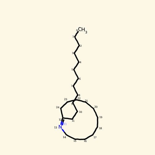 CCCCCCCCCCCC/C1=N\CCCCCCCCCCC1